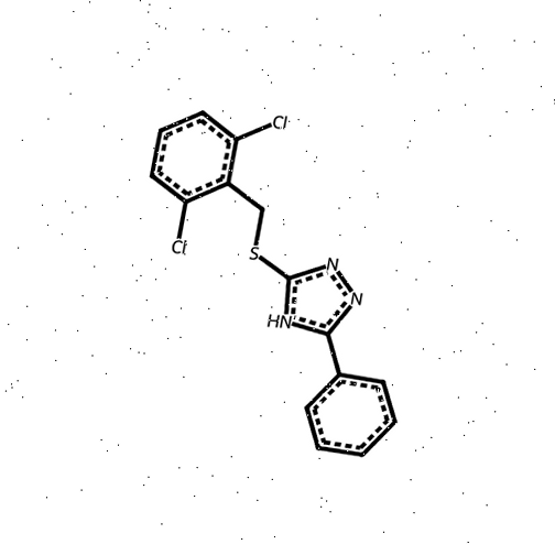 Clc1cccc(Cl)c1CSc1nnc(-c2ccccc2)[nH]1